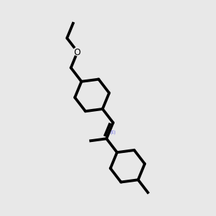 CCOCC1CCC(/C=C(\C)C2CCC(C)CC2)CC1